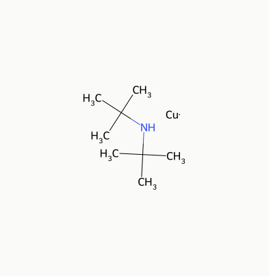 CC(C)(C)NC(C)(C)C.[Cu]